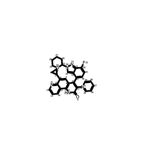 O=c1[nH]c2c(cc(C3CC3)c3ncccc32)c(-c2ccc(F)c3nn(C4CCCCO4)cc23)c1-[n+]1ccccc1